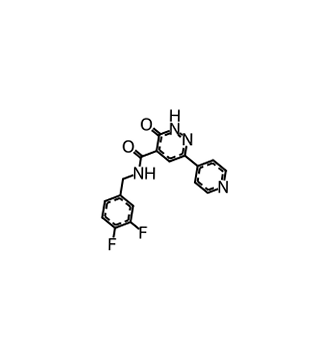 O=C(NCc1ccc(F)c(F)c1)c1cc(-c2ccncc2)n[nH]c1=O